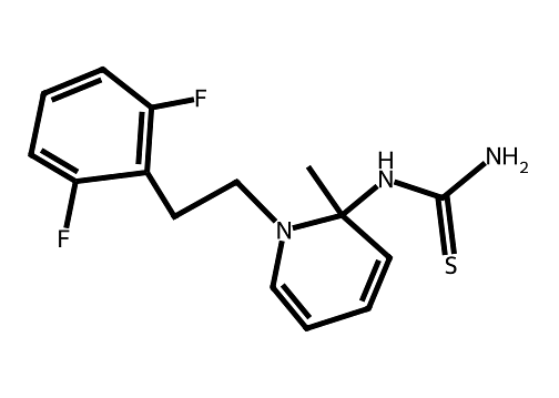 CC1(NC(N)=S)C=CC=CN1CCc1c(F)cccc1F